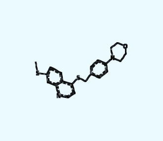 CSc1ccc2c(SCc3ccc(N4CCOCC4)cc3)ccnc2c1